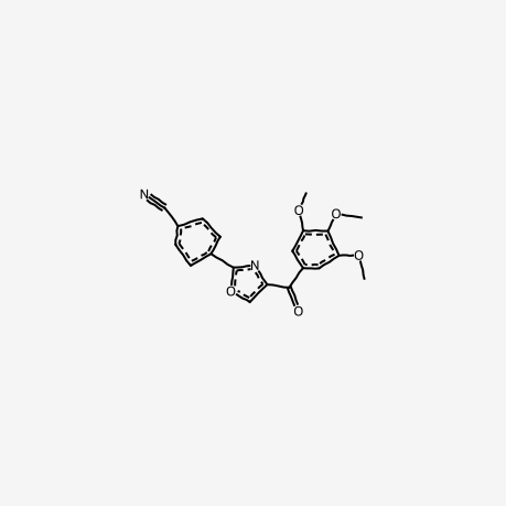 COc1cc(C(=O)c2coc(-c3ccc(C#N)cc3)n2)cc(OC)c1OC